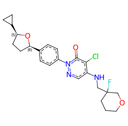 O=c1c(Cl)c(NCC2(F)CCCOC2)cnn1-c1ccc([C@H]2CC[C@@H](C3CC3)O2)cc1